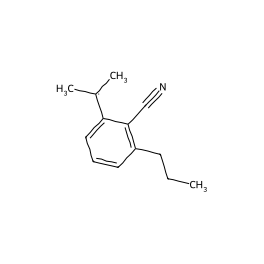 CCCc1cccc([C](C)C)c1C#N